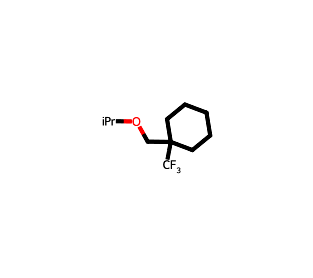 CC(C)OCC1(C(F)(F)F)CCCCC1